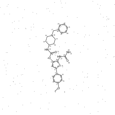 COc1ccc(-c2cc(OC(=O)NC3CCN(Cc4ccccc4)CC3)c(NC(N)=O)s2)cc1